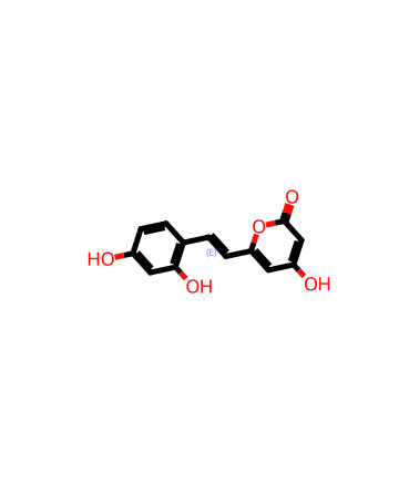 O=c1cc(O)cc(/C=C/c2ccc(O)cc2O)o1